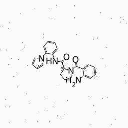 Nc1ccccc1C(=O)N1CCC[C@H]1C(=O)Nc1ccccc1-n1cccc1